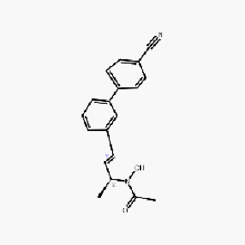 CC(=O)N(O)[C@@H](C)/C=C/c1cccc(-c2ccc(C#N)cc2)c1